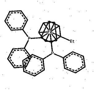 CC[C]12[CH]3[CH]4[C]5(P(c6ccccc6)c6ccccc6)[C]1(P(c1ccccc1)c1ccccc1)[Fe]34251678[CH]2[CH]1[CH]6[CH]7[CH]28